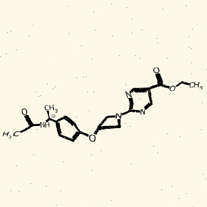 CCOC(=O)c1cnc(N2CC(Oc3ccc([C@H](C)NC(C)=O)cc3)C2)nc1